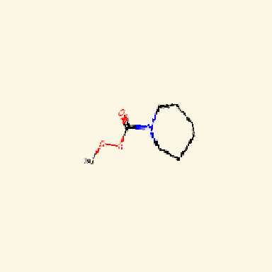 CC(C)(C)OOC(=O)N1CCCCCC1